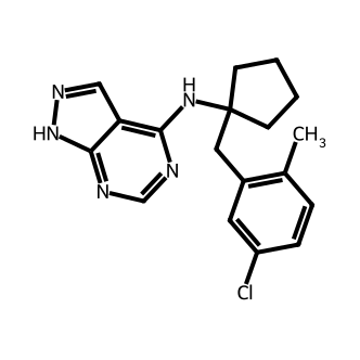 Cc1ccc(Cl)cc1CC1(Nc2ncnc3[nH]ncc23)CCCC1